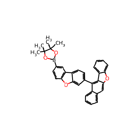 CC1(C)OB(c2ccc3oc4cc(-c5c6ccccc6cc6oc7ccccc7c56)ccc4c3c2)OC1(C)C